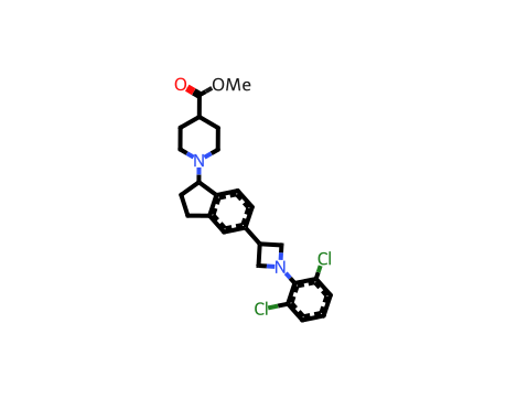 COC(=O)C1CCN(C2CCc3cc(C4CN(c5c(Cl)cccc5Cl)C4)ccc32)CC1